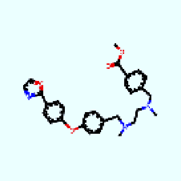 COC(=O)c1ccc(CN(C)CCN(C)Cc2ccc(Oc3ccc(-c4ncco4)cc3)cc2)cc1